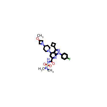 COC1CN(C2CCN(c3cc(C(=O)NS(=O)(=O)N(C)C)nc4c3c(C3CCC3)nn4-c3ccc(F)cc3)CC2)C1